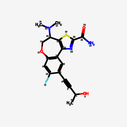 CC(O)C#Cc1cc2c(cc1F)OCC(N(C)C)c1sc(C(N)=O)nc1-2